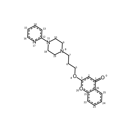 O=c1cc(OCCCN2CCN(c3ccccn3)CC2)oc2ccccc12